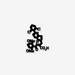 COc1cccc(OC)c1C(=O)[AsH]C(Cc1ccc2nc(-c3c(Cl)cccc3Cl)ccc2c1)C(=O)O